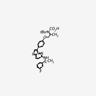 C[C@H](COc1ccc(-c2cnc3ccc(N[C@H](C)c4cccc(F)c4)nn23)cc1)N(C(=O)O)C(C)(C)C